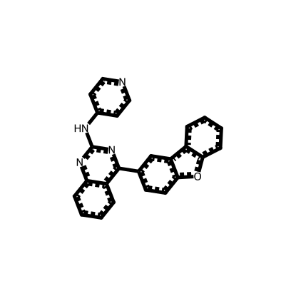 c1ccc2c(-c3ccc4oc5ccccc5c4c3)nc(Nc3ccncc3)nc2c1